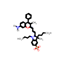 CCN(CC)c1ccc2c(c1)O/C(=C\C=C\C1=[N+](CCCS(=O)(=O)O)c3ccc(S(=O)(=O)[O-])cc3C1(C)CCCC(=O)O)C(C)=C2c1ccccc1